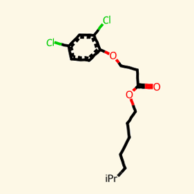 CC(C)CCCCCOC(=O)CCOc1ccc(Cl)cc1Cl